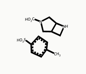 Cc1ccc(S(=O)(=O)O)cc1.O=C(O)N1CC2CNC2C1